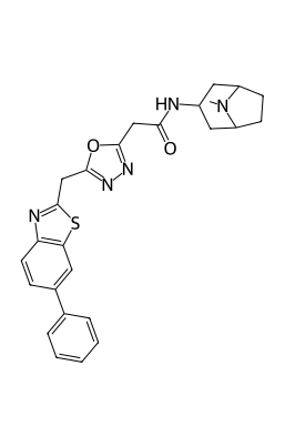 CN1C2CCC1CC(NC(=O)Cc1nnc(Cc3nc4ccc(-c5ccccc5)cc4s3)o1)C2